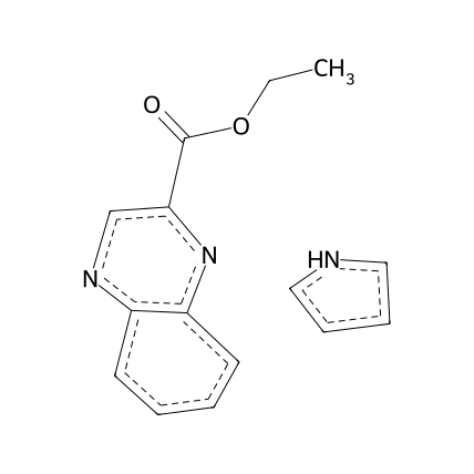 CCOC(=O)c1cnc2ccccc2n1.c1cc[nH]c1